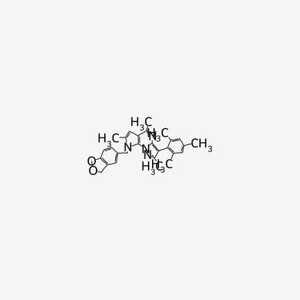 Cc1cc(C)c(-c2c(C)nn3c2nc(C)c2cc(C)n(Cc4ccc5c(c4)COO5)c23)c(C)c1